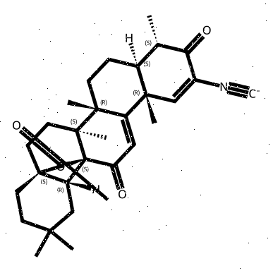 [C-]#[N+]C1=C[C@]2(C)C3=CC(=O)[C@]45OC(=O)[C@@]6(CCC(C)(C)C[C@H]64)CC[C@@]5(C)[C@]3(C)CC[C@H]2[C@H](C)C1=O